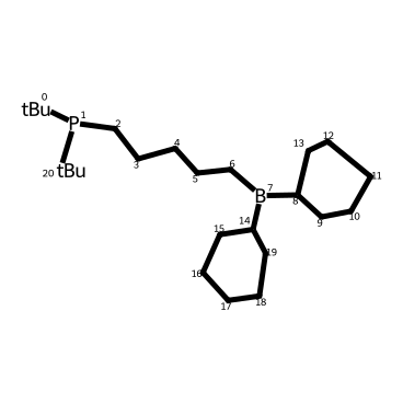 CC(C)(C)P(CCCCCB(C1CCCCC1)C1CCCCC1)C(C)(C)C